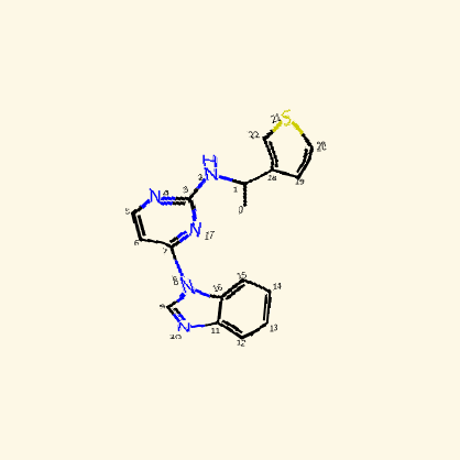 CC(Nc1nccc(-n2cnc3ccccc32)n1)c1ccsc1